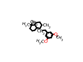 COc1cc(CC[C@H]2[C@@H](C)CC[C@H]3C(C)(C)CCC[C@]23C)cc(OC)c1